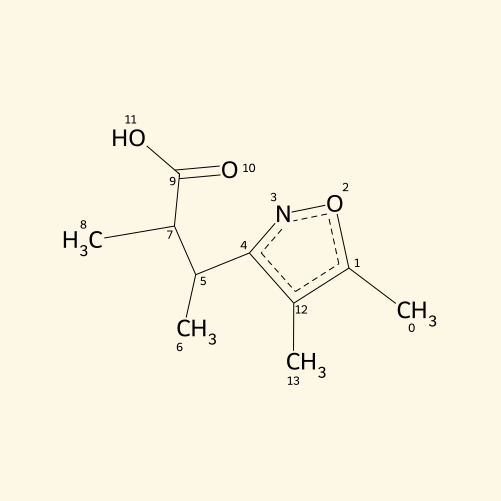 Cc1onc(C(C)C(C)C(=O)O)c1C